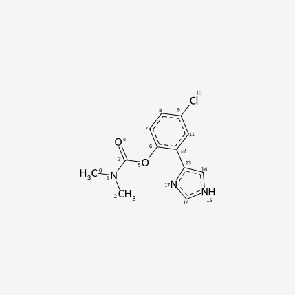 CN(C)C(=O)Oc1ccc(Cl)cc1-c1c[nH]cn1